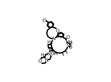 C[C@@H]1CS(=O)(=O)NC(=O)c2ccc3c(c2)N(CCCCc2cc(Cl)ccc2CO3)C[C@@H]2CC[C@H]2[C@](O)(CN2CCN3CCOC[C@@H]3C2)CC[C@@H]1C